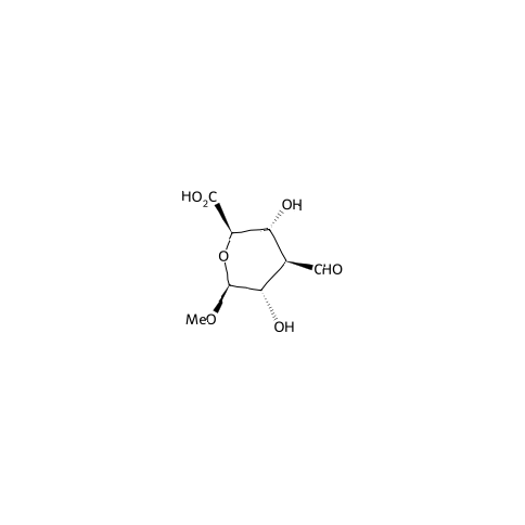 CO[C@H]1O[C@@H](C(=O)O)[C@H](O)[C@@H](C=O)[C@@H]1O